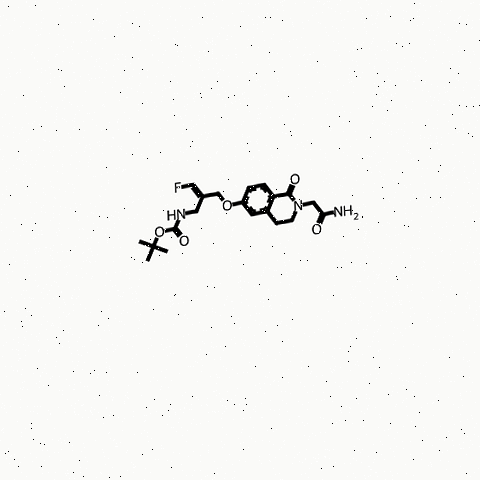 CC(C)(C)OC(=O)NC/C(=C\F)COc1ccc2c(c1)CCN(CC(N)=O)C2=O